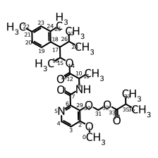 COc1ccnc(C(=O)NC(C)C(=O)OC(C)C(c2ccc(C)cc2C)C(C)C)c1OCOC(=O)C(C)C